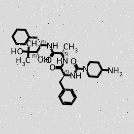 C[C@H](NC(=O)[C@H](Cc1ccccc1)NC(=O)N1CCC(N)CC1)C(=O)N[C@@H](CC1CCCCC1)[C@H](O)C(C)(C)O